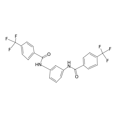 O=C(Nc1cccc(NC(=O)c2ccc(C(F)(F)F)cc2)c1)c1ccc(C(F)(F)F)cc1